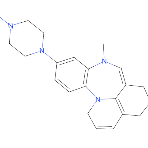 CN1CCN(c2ccc3c(c2)N(C)C=C2CCCC4=C2N3CC=C4)CC1